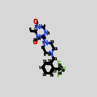 CC1[N+](=O)CN=C(N2CCN(Cc3ccccc3C(F)(F)F)CC2)[N+]1=O